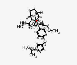 COCCOC(=O)N1[C@@H]2CC[C@H]1[C@H](C(=O)NO)N(S(=O)(=O)c1ccc(Oc3cnn(C(C)C)c3)nc1)C2